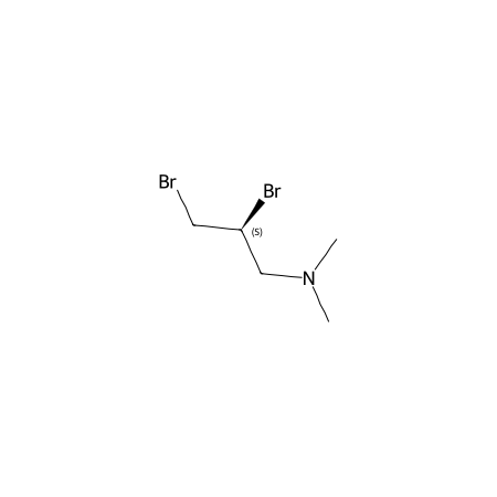 CN(C)C[C@H](Br)CBr